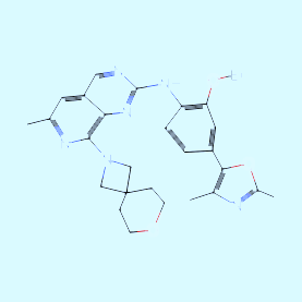 CCOc1cc(-c2oc(C)nc2C)ccc1Nc1ncc2cc(C)nc(N3CC4(CCOCC4)C3)c2n1